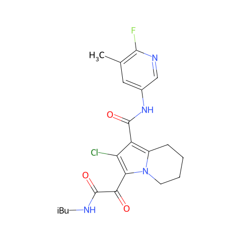 CCC(C)NC(=O)C(=O)c1c(Cl)c(C(=O)Nc2cnc(F)c(C)c2)c2n1CCCC2